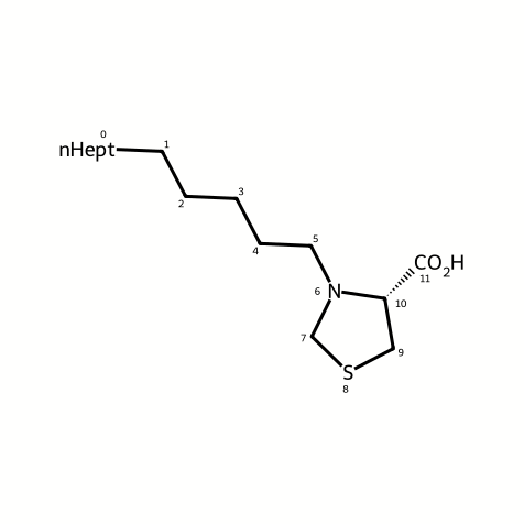 CCCCCCCCCCCCN1CSC[C@H]1C(=O)O